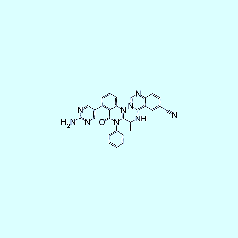 C[C@H](Nc1ncnc2ccc(C#N)cc12)c1nc2cccc(-c3cnc(N)nc3)c2c(=O)n1-c1ccccc1